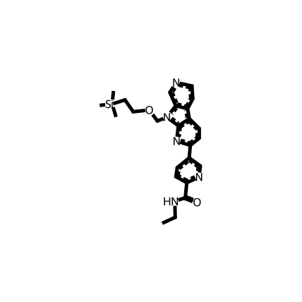 CCNC(=O)c1ccc(-c2ccc3c4ccncc4n(COCC[Si](C)(C)C)c3n2)cn1